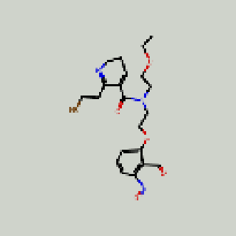 CCOCCN(CCOc1cccc(N=O)c1C=O)C(=O)C1=CCCN=C1CCS